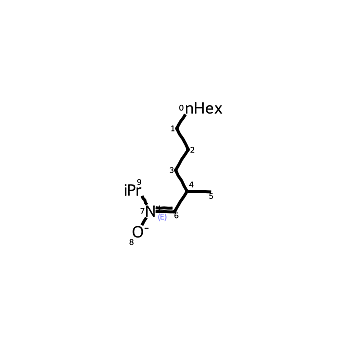 CCCCCCCCCC(C)/C=[N+](/[O-])C(C)C